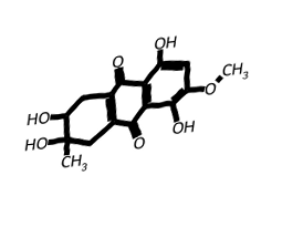 COc1cc(O)c2c(c1O)C(=O)C1=C(CC(O)C(C)(O)C1)C2=O